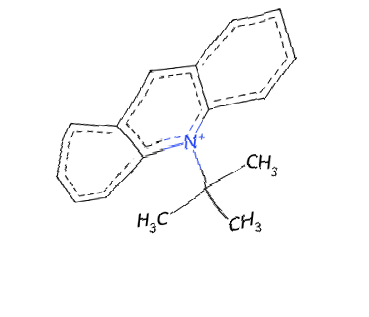 CC(C)(C)[n+]1c2ccccc2cc2ccccc21